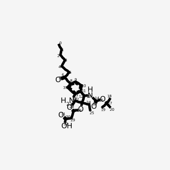 CCCCCCC(=O)c1ccc(C(NC(=O)OC(C)(C)C)C(CC)(CC)OC(=O)CC(=O)O)c(N)c1